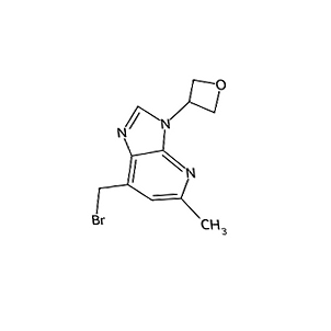 Cc1cc(CBr)c2ncn(C3COC3)c2n1